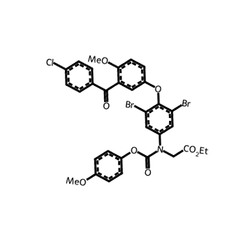 CCOC(=O)CN(C(=O)Oc1ccc(OC)cc1)c1cc(Br)c(Oc2ccc(OC)c(C(=O)c3ccc(Cl)cc3)c2)c(Br)c1